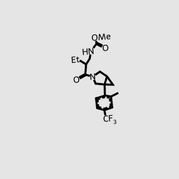 CCC(CNC(=O)OC)C(=O)N1CC2CC2(c2ccc(C(F)(F)F)cc2C)C1